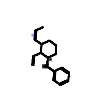 C=CC1C(/C=C\C)CCC[C@H]1Nc1ccccc1